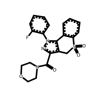 O=C(c1nn(-c2ccccc2F)c2c1CS(=O)(=O)c1ccccc1-2)N1CCOCC1